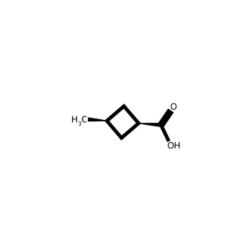 C[C@H]1C[C@@H](C(=O)O)C1